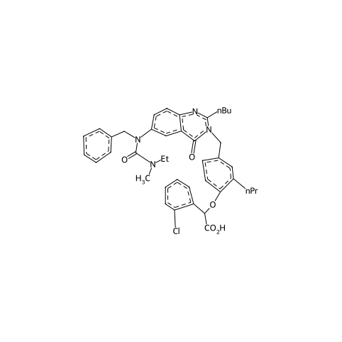 CCCCc1nc2ccc(N(Cc3ccccc3)C(=O)N(C)CC)cc2c(=O)n1Cc1ccc(OC(C(=O)O)c2ccccc2Cl)c(CCC)c1